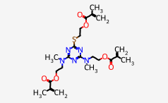 C=C(C)C(=O)OCCSc1nc(N(C)CCOC(=O)C(=C)C)nc(N(C)CCOC(=O)C(=C)C)n1